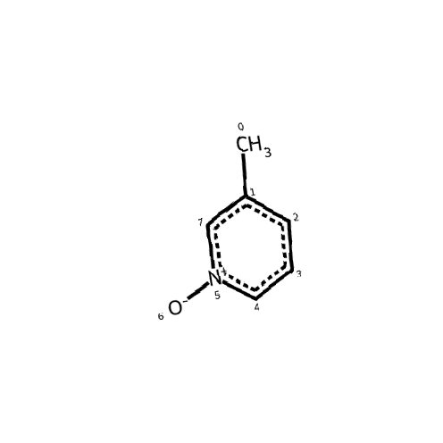 Cc1ccc[n+]([O-])c1